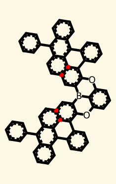 c1ccc(-c2c3ccccc3c(-c3ccccc3-c3cccc4c3Oc3cccc5c3B4c3cccc(-c4ccccc4-c4c6ccccc6c(-c6ccccc6)c6ccccc46)c3O5)c3ccccc23)cc1